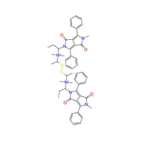 CCC(N1C(=O)C2=C(c3ccccc3)N(C)C(=O)C2=C1c1ccccc1)[N+](C)(C)C(C)SSC(C)[N+](C)(C)C(CC)N1C(=O)C2=C(c3ccccc3)N(C)C(=O)C2=C1c1ccccc1